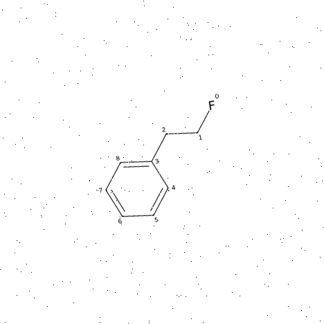 FCCc1[c]cccc1